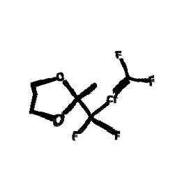 CC1([C](F)(F)[Cf]=[C](F)F)OCCO1